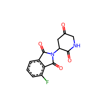 O=C1CNC(=O)C(N2C(=O)c3cccc(F)c3C2=O)C1